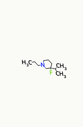 CCCN1CCCC(F)(C(C)C)C1